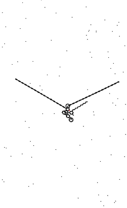 C#CC#CC#CC#CC#CC#CC#CC#CC#CC#CC#CC#CC#CC#CC#CC#COc1ccc([Si]2(c3cc(C)cc(CCCCCCCCCCCC)c3)c3ccccc3-c3ccc(C=O)cc32)cc1C#CC#CC#CC#CC#CC#CC#CC#CC#CC#CC#CC#CC#CC#CC#CC#C